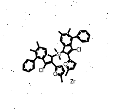 Cc1ccc(C2=C(Cl)c3c(cc(C)c(C)c3-c3ccccc3)C2[Si](C)(C)C2C(c3ccc(C)o3)=C(Cl)c3c2cc(C)c(C)c3-c2ccccc2)o1.[Zr]